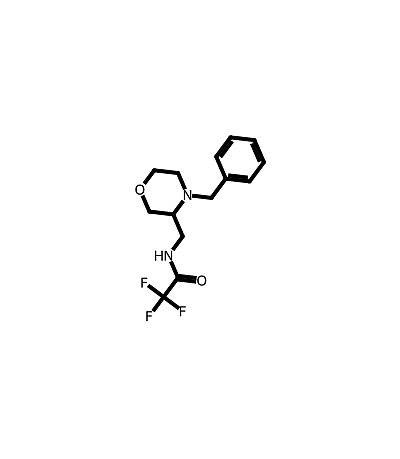 O=C(NCC1COCCN1Cc1ccccc1)C(F)(F)F